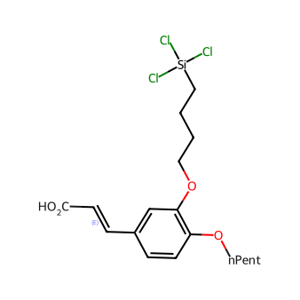 CCCCCOc1ccc(/C=C/C(=O)O)cc1OCCCC[Si](Cl)(Cl)Cl